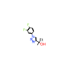 CCC(C)(O)c1cn(-c2ccc(F)c(F)c2)nn1